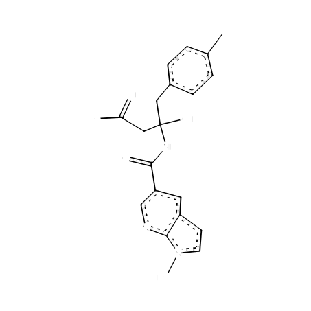 C=C(C)CC(C)(Cc1ccc(F)cc1)NC(=O)c1cnc2c(ccn2C)c1